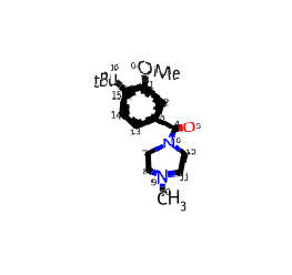 COc1cc(C(=O)N2CCN(C)CC2)ccc1C(C)(C)C